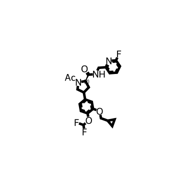 CC(=O)N1CC(c2ccc(OC(F)F)c(OCC3CC3)c2)C[C@@H]1C(=O)NCc1cccc(F)n1